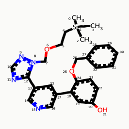 C[Si](C)(C)CCOCn1ncnc1-c1cncc(-c2cc(O)ccc2OCc2ccccc2)c1